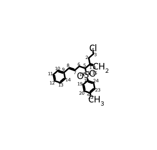 C=C(CCCl)C(C/C=C/c1ccccc1)S(=O)(=O)c1ccc(C)cc1